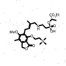 CCOC(=O)[C@H](C)OP(=O)(O)CCNC/C(C)=C/Cc1c(OC)c(C)c2c(c1OCC[Si](C)(C)C)C(=O)OC2